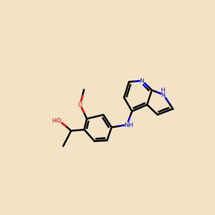 COc1cc(Nc2ccnc3[nH]ccc23)ccc1C(C)O